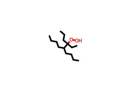 CCCCC(CCCC)C(CC)(CCC)OO